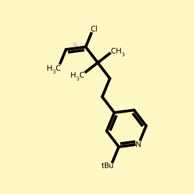 C/C=C(/Cl)C(C)(C)CCc1ccnc(C(C)(C)C)c1